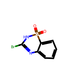 O=S1(=O)NC(Br)=Nc2ccccc21